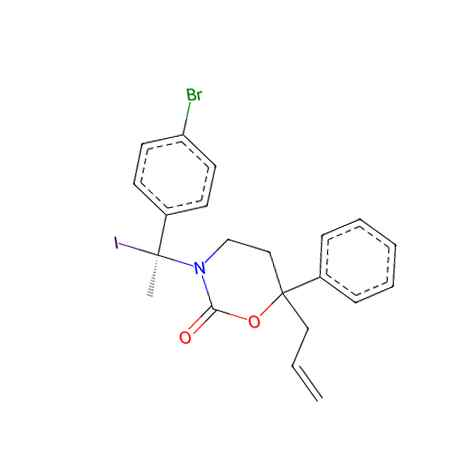 C=CCC1(c2ccccc2)CCN([C@@](C)(I)c2ccc(Br)cc2)C(=O)O1